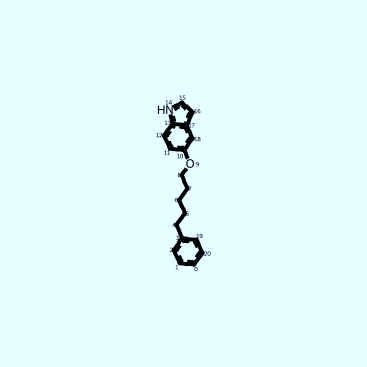 c1ccc(CCCCCOc2ccc3[nH]ccc3c2)cc1